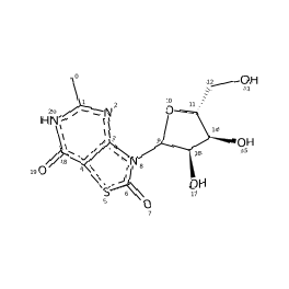 Cc1nc2c(sc(=O)n2C2O[C@H](CO)[C@@H](O)[C@H]2O)c(=O)[nH]1